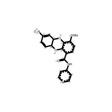 COc1ccc(C(=O)Nc2ccncc2)c2c1OC1C=C([N+](=O)[O-])C=CC1O2